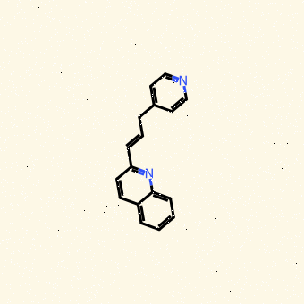 C(=Cc1ccc2ccccc2n1)Cc1ccncc1